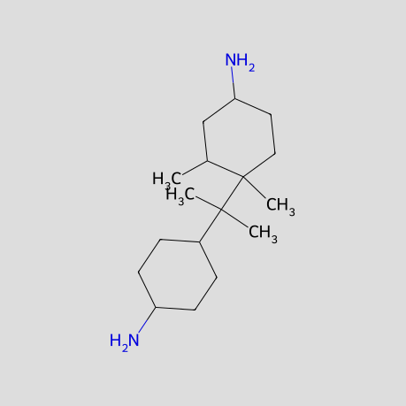 CC1CC(N)CCC1(C)C(C)(C)C1CCC(N)CC1